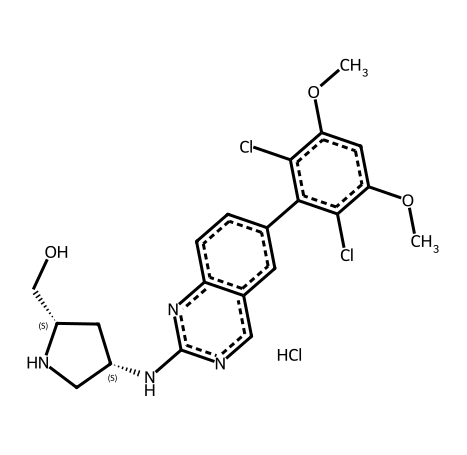 COc1cc(OC)c(Cl)c(-c2ccc3nc(N[C@@H]4CN[C@H](CO)C4)ncc3c2)c1Cl.Cl